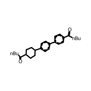 CCCCC(=O)c1ccc(-c2ccc(C3CCC(C(=O)CCCC)CC3)cc2)cc1